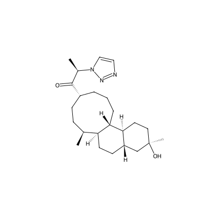 C[C@H](C(=O)[C@@H]1CCC[C@H]2[C@@H](CC[C@H]3C[C@](C)(O)CC[C@@H]32)[C@@H](C)CC1)n1ccnn1